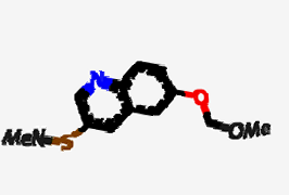 CNSc1cnc2ccc(OCOC)cc2c1